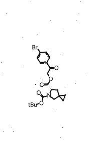 CC(C)(C)OC(=O)N1CC2(CC2)C[C@H]1C(=O)OCC(=O)c1ccc(Br)cc1